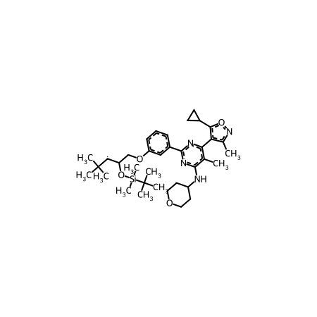 Cc1noc(C2CC2)c1-c1nc(-c2cccc(OCC([CH]C(C)(C)C)O[Si](C)(C)C(C)(C)C)c2)nc(NC2CCOCC2)c1C